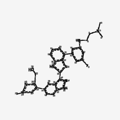 CN(C)CCNc1cc(F)cc(-c2nccc3[nH]c(-c4n[nH]c5ccc(-c6cn(C)nc6CO)nc45)nc23)c1